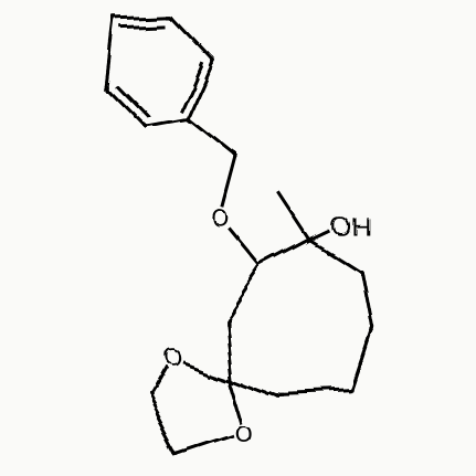 CC1(O)CCCCC2(CC1OCc1ccccc1)OCCO2